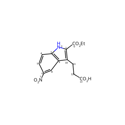 CCOC(=O)c1[nH]c2ccc([N+](=O)[O-])cc2c1CCC(=O)O